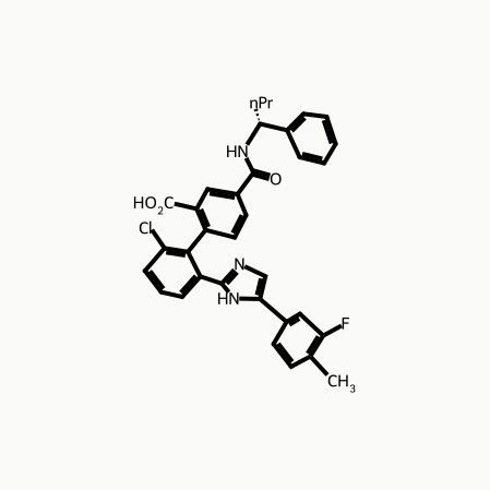 CCC[C@@H](NC(=O)c1ccc(-c2c(Cl)cccc2-c2ncc(-c3ccc(C)c(F)c3)[nH]2)c(C(=O)O)c1)c1ccccc1